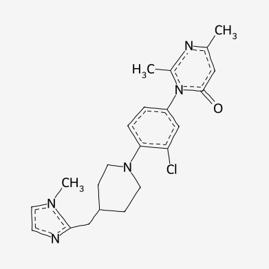 Cc1cc(=O)n(-c2ccc(N3CCC(Cc4nccn4C)CC3)c(Cl)c2)c(C)n1